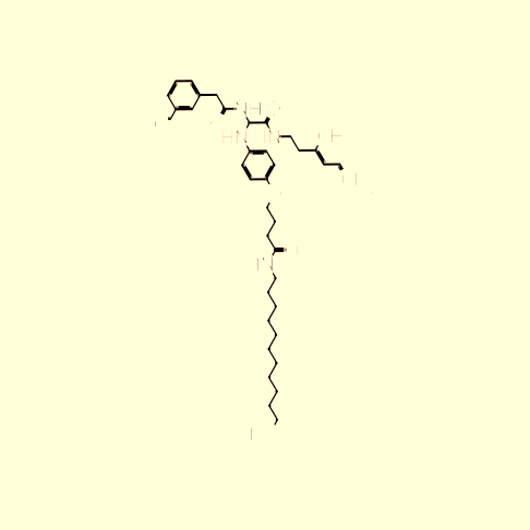 C=C/C=C(\C)CCNC(=O)C(NC(=O)Cc1cccc(Cl)c1)Nc1ccc(OCCCC(=O)NCCCCCCCCCCCC)cc1